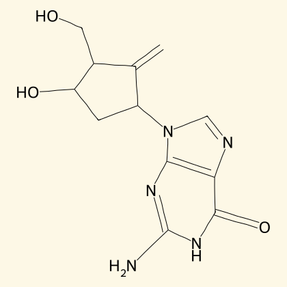 C=C1C(CO)C(O)CC1n1cnc2c(=O)[nH]c(N)nc21